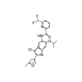 CC(C)Oc1cc2nc(C34COC(C)(C3)C4)c(Cl)n2cc1NC(=O)c1cccc(C(F)F)n1